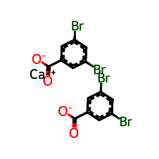 O=C([O-])c1cc(Br)cc(Br)c1.O=C([O-])c1cc(Br)cc(Br)c1.[Ca+2]